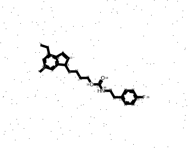 CCc1cc(C)cc2c1C=CC2CCCCOC(=O)NCCc1ccc(F)cc1